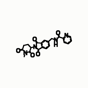 CN1C(=O)CCC(N2C(=O)c3ccc(CNC(=O)c4ccccn4)cc3C2=O)C1=O